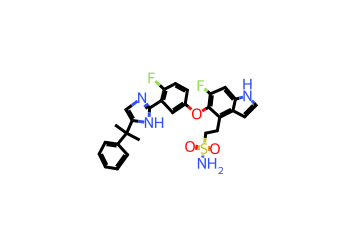 CC(C)(c1ccccc1)c1cnc(-c2cc(Oc3c(F)cc4[nH]ccc4c3CCS(N)(=O)=O)ccc2F)[nH]1